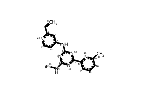 C=Cc1cc(Nc2nc(NC(C)C)nc(-c3cccc(C(F)(F)F)n3)n2)ccn1